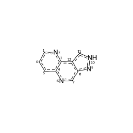 c1cnc2c(c1)ncc1n[nH]cc12